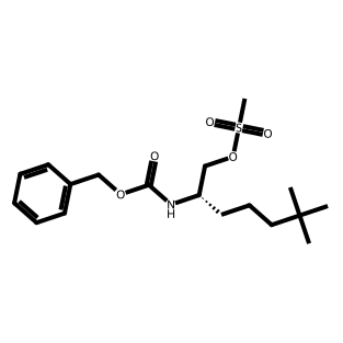 CC(C)(C)CCC[C@@H](COS(C)(=O)=O)NC(=O)OCc1ccccc1